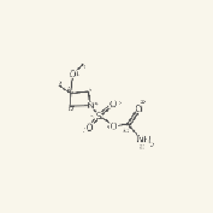 COC1(C)CN(S(=O)(=O)OC(N)=O)C1